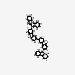 C1=Cc2c(n(-c3ccc4oc5ccc(-c6ccc7oc8ccc(-n9c%10ccccc%10n%10c%11ccccc%11nc9%10)cc8c7c6)cc5c4c3)c3ccccc23)CC1